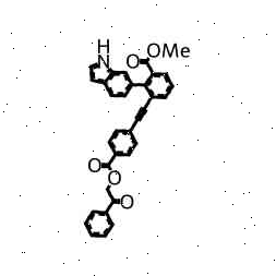 COC(=O)c1cccc(C#Cc2ccc(C(=O)OCC(=O)c3ccccc3)cc2)c1-c1ccc2cc[nH]c2c1